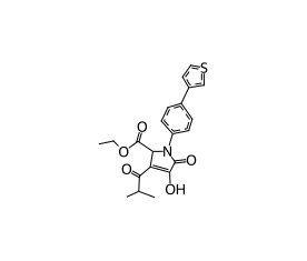 CCOC(=O)C1C(C(=O)C(C)C)=C(O)C(=O)N1c1ccc(-c2ccsc2)cc1